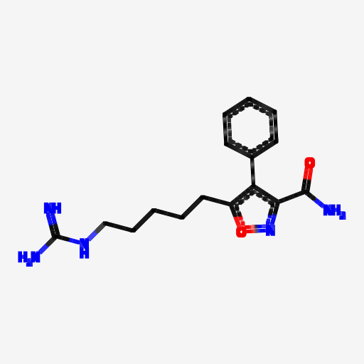 N=C(N)NCCCCCc1onc(C(N)=O)c1-c1ccccc1